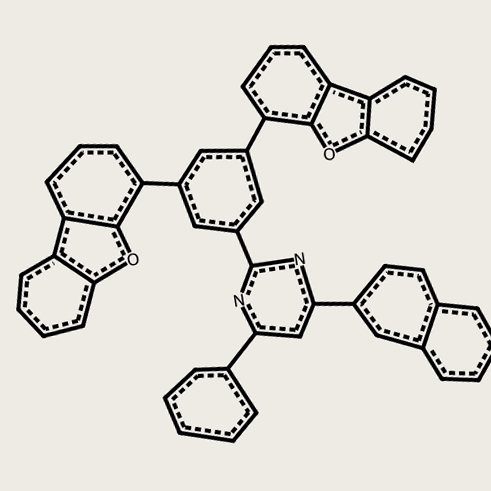 c1ccc(-c2cc(-c3ccc4ccccc4c3)nc(-c3cc(-c4cccc5c4oc4ccccc45)cc(-c4cccc5c4oc4ccccc45)c3)n2)cc1